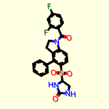 O=C1NCC(S(=O)(=O)c2ccc3c(c2-c2ccccc2)CCN3C(=O)c2ccc(F)cc2F)N1